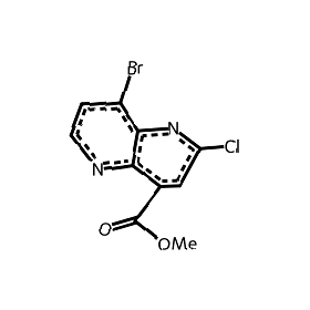 COC(=O)c1cc(Cl)nc2c(Br)ccnc12